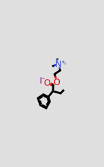 CCC(C(=O)OCC[N+](C)(C)C)c1ccccc1.[I-]